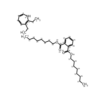 CCC1=C(CC)NC=CC=C1.CCCCCCCCOC(=O)c1ccccc1C(=O)OCCCCCCCC